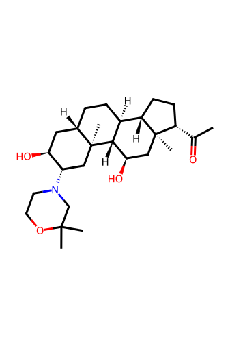 CC(=O)[C@H]1CC[C@H]2[C@@H]3CC[C@H]4C[C@H](O)[C@@H](N5CCOC(C)(C)C5)C[C@]4(C)[C@H]3[C@H](O)C[C@]12C